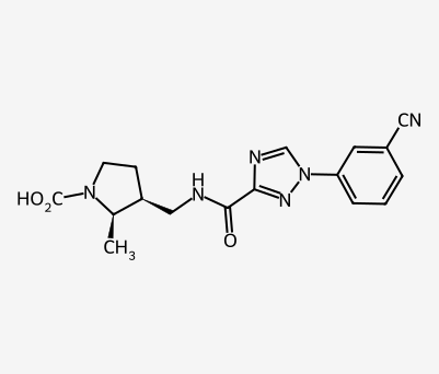 C[C@@H]1[C@H](CNC(=O)c2ncn(-c3cccc(C#N)c3)n2)CCN1C(=O)O